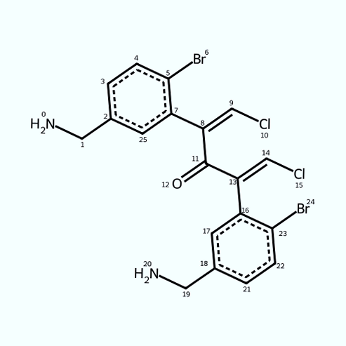 NCc1ccc(Br)c(C(=CCl)C(=O)C(=CCl)c2cc(CN)ccc2Br)c1